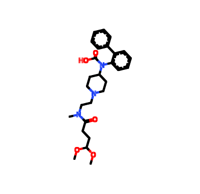 COC(CCC(=O)N(C)CCN1CCC(N(C(=O)O)c2ccccc2-c2ccccc2)CC1)OC